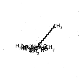 CCCCCCCCCCCCCCCCCCOC[C@H](COP(=O)(O)OC[C@@H](OC)[C@@H](O)Cc1ccc2c(N)ncnn12)OCc1cncc(S(C)(=O)=O)c1